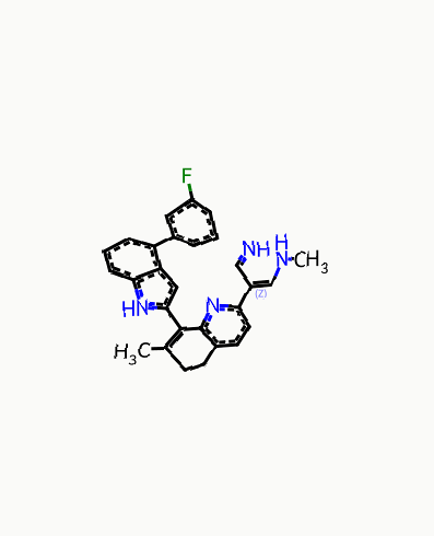 CN/C=C(\C=N)c1ccc2c(n1)C(c1cc3c(-c4cccc(F)c4)cccc3[nH]1)=C(C)CC2